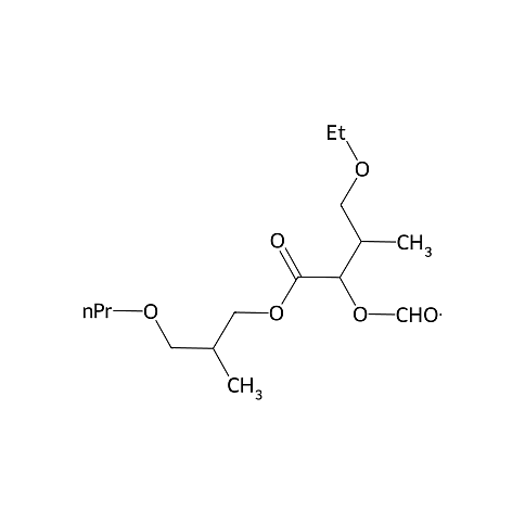 CCCOCC(C)COC(=O)C(O[C]=O)C(C)COCC